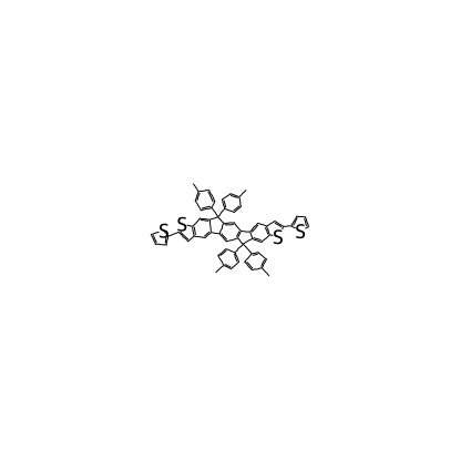 Cc1ccc(C2(c3ccc(C)cc3)c3cc4c(cc3-c3cc5cc(-c6cccs6)sc5cc32)C(c2ccc(C)cc2)(c2ccc(C)cc2)c2cc3sc(-c5cccs5)cc3cc2-4)cc1